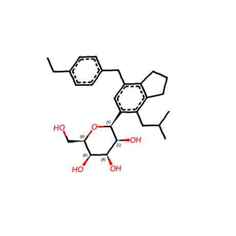 CCc1ccc(Cc2cc([C@@H]3O[C@H](CO)[C@H](O)[C@H](O)[C@@H]3O)c(CC(C)C)c3c2CCC3)cc1